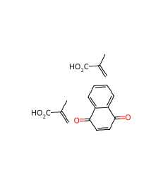 C=C(C)C(=O)O.C=C(C)C(=O)O.O=C1C=CC(=O)c2ccccc21